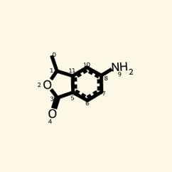 CC1OC(=O)c2ccc(N)cc21